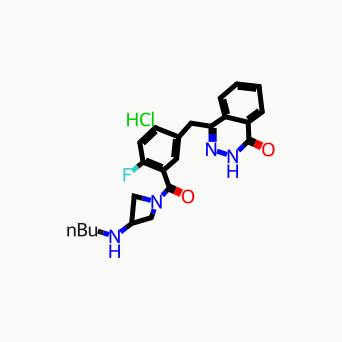 CCCCNC1CN(C(=O)c2cc(Cc3n[nH]c(=O)c4ccccc34)ccc2F)C1.Cl